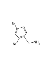 N#Cc1cc(Br)ccc1CN